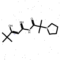 CC(C)(C)/C(O)=C/C(=N)NC(=O)C(C)(C)N1CCCC1